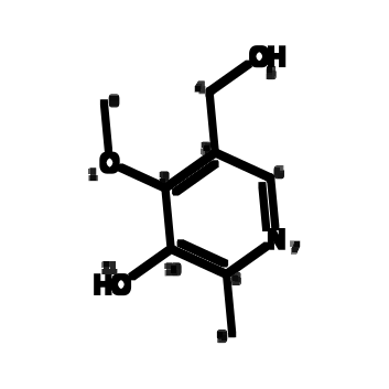 COc1c(CO)cnc(C)c1O